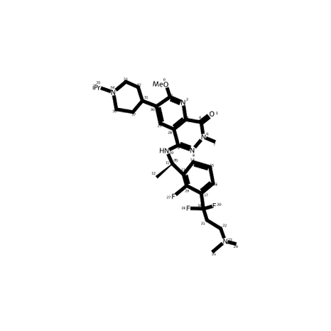 COc1nc2c(=O)n(C)nc(N[C@H](C)c3cccc(C(F)(F)CCN(C)C)c3F)c2cc1C1CCN(C(C)C)CC1